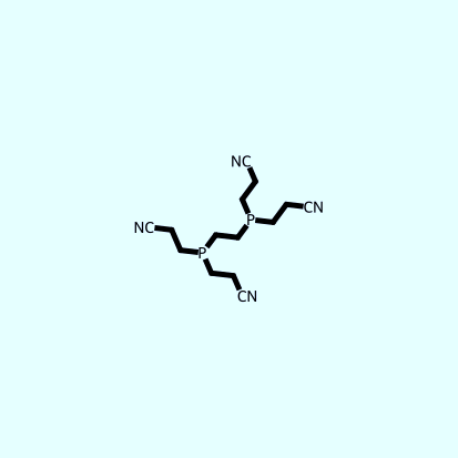 N#CCCP(CCC#N)CCP(CCC#N)CCC#N